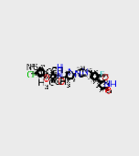 CC1(C)C(NC(=O)c2ccc(N3CCN(Cc4ccc(C5CCC(=O)NC5=O)c(F)c4)CC3)nc2)C(C)(C)C1Oc1ccc(C#N)c(Cl)c1